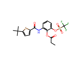 CCC(=O)Oc1c(NC(=O)c2ccc(C(C)(C)C)s2)cccc1OS(=O)(=O)C(F)(F)F